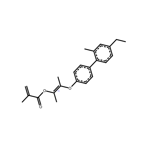 C=C(C)C(=O)O/C(C)=C(\C)Oc1ccc(-c2ccc(CC)cc2C)cc1